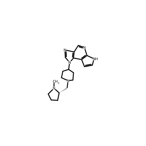 CN1CCC[C@H]1CN1CCC(n2cnc3cnc4[nH]ccc4c32)CC1